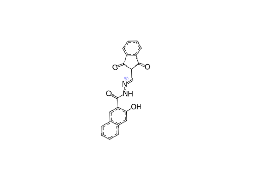 O=C(N/N=C/C1C(=O)c2ccccc2C1=O)c1cc2ccccc2cc1O